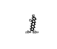 CCCCc1cc2cc3cc4sc5ccc(Cl)cc5c(=O)c4cc3cc2cc1CCCC